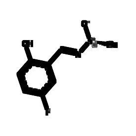 CC(C)(C)[S@@+]([O-])N=Cc1cc(F)ccc1O